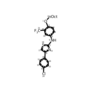 CCCCCCCCOc1ccc(Nc2nc(-c3ccc(Cl)cc3)cs2)cc1C(F)(F)F